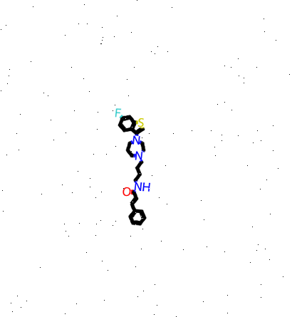 O=C(C=Cc1ccccc1)NCCCCN1CCCN(c2csc3cc(F)ccc23)CC1